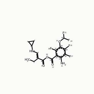 CCC(=CNC1CC1)C(=O)OC(=O)c1c(N)c(F)c(F)c(OC(F)F)c1F